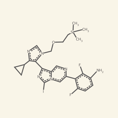 C[Si](C)(C)CCOCn1cnc(C2CC2)c1-c1nc(I)n2cc(-c3c(F)ccc(N)c3F)ncc12